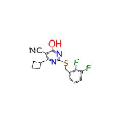 N#Cc1c(O)nc(SCc2cccc(F)c2F)nc1C1CCC1